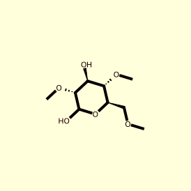 COC[C@H]1OC(O)[C@H](OC)[C@@H](O)[C@@H]1OC